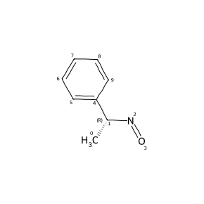 C[C@@H](N=O)c1ccccc1